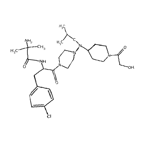 CC(C)CN(C1CCN(C(=O)CO)CC1)N1CCN(C(=O)C(Cc2ccc(Cl)cc2)NC(=O)C(C)(C)N)CC1